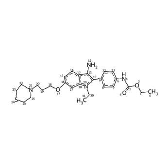 CCOC(=O)Nc1ccc(-c2c(N)c3ccc(OCCCN4CCSCC4)cc3n2CC)cc1